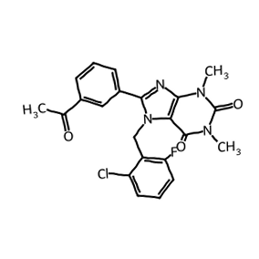 CC(=O)c1cccc(-c2nc3c(c(=O)n(C)c(=O)n3C)n2Cc2c(F)cccc2Cl)c1